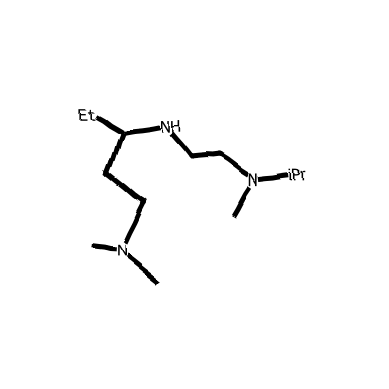 CCC(CCN(C)C)NCCN(C)C(C)C